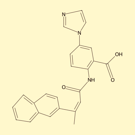 C/C(=C/C(=O)Nc1ccc(-n2ccnc2)cc1C(=O)O)c1ccc2ccccc2c1